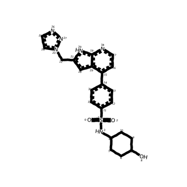 O=S(=O)(NC1CCC(O)CC1)c1ccc(-c2ccnc3[nH]c(Cn4ccnn4)cc23)cc1